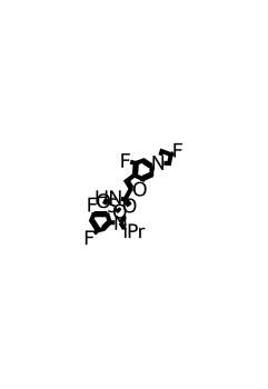 CC(C)N(C)c1cc(F)cc(F)c1S(=O)(=O)NC(=O)c1cc2c(F)cc(N3CC(F)C3)cc2o1